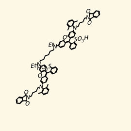 CCN(CCCCCCN(CC)c1ccc2c(-c3ccccc3S(=O)(=O)O)c3ccc(N(CCCCN4C(=O)c5ccccc5C4=O)c4c(C)cccc4C)cc3[o+]c2c1)c1ccc2c(c1)OC1C=C(N(CCCCN3C(=O)c4ccccc4C3=O)c3c(C)cccc3C)C=CC1=C2c1ccccc1S(=O)(=O)O